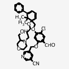 CC1(C)C(c2ccccc2)=CC=CC1(COc1cc(OCc2cncc(C#N)c2)c(C=O)cc1Cl)OCCCN1CCOCC1CO